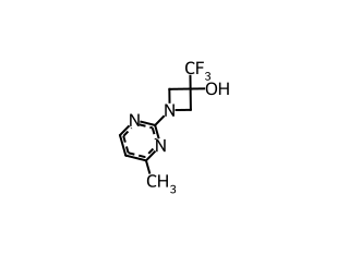 Cc1ccnc(N2CC(O)(C(F)(F)F)C2)n1